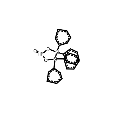 O=[PH]1O[Si](c2ccccc2)(c2ccccc2)[Si](c2ccccc2)(c2ccccc2)O1